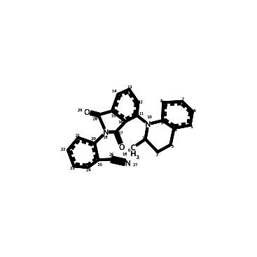 CC1CCc2ccccc2N1c1cccc2c1C(=O)N(c1ccccc1C#N)C2=O